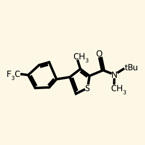 Cc1c(-c2ccc(C(F)(F)F)cc2)csc1C(=O)N(C)C(C)(C)C